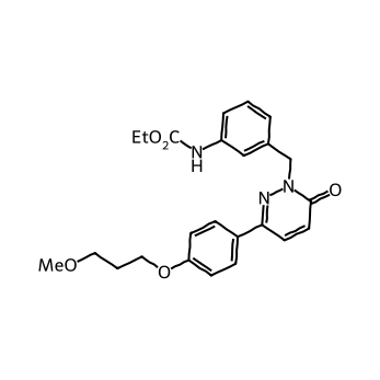 CCOC(=O)Nc1cccc(Cn2nc(-c3ccc(OCCCOC)cc3)ccc2=O)c1